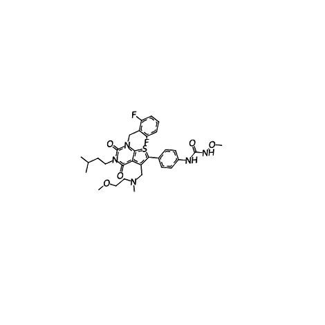 COCCN(C)Cc1c(-c2ccc(NC(=O)NOC)cc2)sc2c1c(=O)n(CCC(C)C)c(=O)n2Cc1c(F)cccc1F